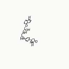 CC(CNCC(O)COc1cccc2[nH]ccc12)CNc1ccc(C2=NNC(=O)CC2)cc1